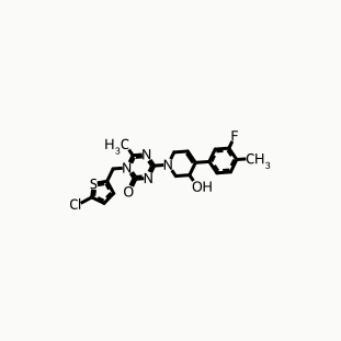 Cc1ccc(C2=CCN(c3nc(C)n(Cc4ccc(Cl)s4)c(=O)n3)CC2O)cc1F